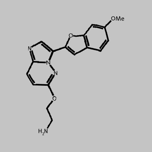 COc1ccc2cc(-c3cnc4ccc(OCCN)nn34)oc2c1